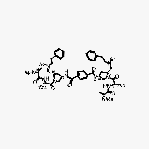 CN[C@@H](C)C(=O)N[C@H](C(=O)N1C[C@@H](NC(=O)c2ccc(C(=O)N[C@H]3C[C@@H](CN(CCc4ccccc4)C(C)=O)N(C(=O)[C@@H](NC(=O)[C@H](C)NC)C(C)(C)C)C3)cc2)C[C@H]1CN(CCc1ccccc1)C(C)=O)C(C)(C)C